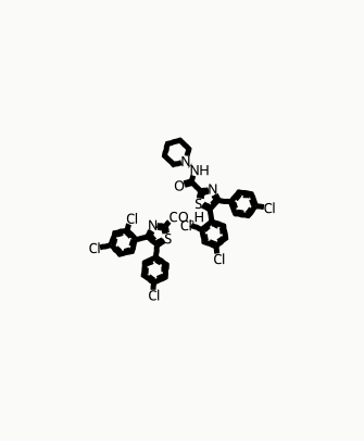 O=C(NN1CCCCC1)c1nc(-c2ccc(Cl)cc2)c(-c2ccc(Cl)cc2Cl)s1.O=C(O)c1nc(-c2ccc(Cl)cc2Cl)c(-c2ccc(Cl)cc2)s1